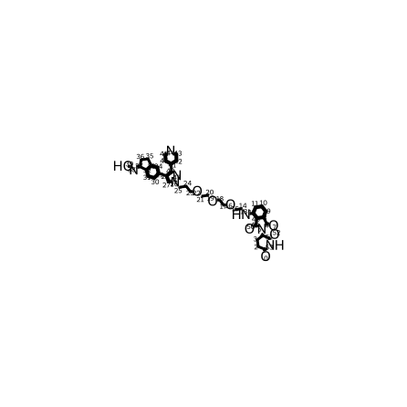 O=C1CCC(N2C(=O)c3cccc(NCCOCCOCCOCCCn4cc(-c5ccc6c(c5)CC/C6=N\O)c(-c5ccncc5)n4)c3C2=O)C(=O)N1